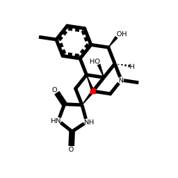 Cc1ccc2c(c1)[C@]13CCN(C)[C@H]([C@@H]2O)[C@]1(O)CC[C@@]1(C3)NC(=O)NC1=O